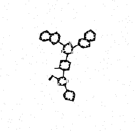 C=Cc1nc(-c2ccccc2)oc1-c1ccc(-c2nc(-c3ccc4ccccc4c3)nc(-c3ccc4ccccc4c3)n2)cc1C